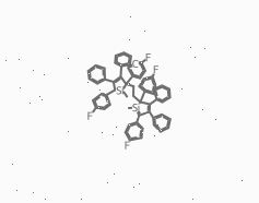 C[Si]1=C(c2ccc(F)cc2)C(c2ccccc2)=C(c2ccccc2)C1(CCC1(c2ccc(F)cc2)C(c2ccccc2)=C(c2ccccc2)C(c2ccc(F)cc2)=[Si]1C)c1ccc(F)cc1